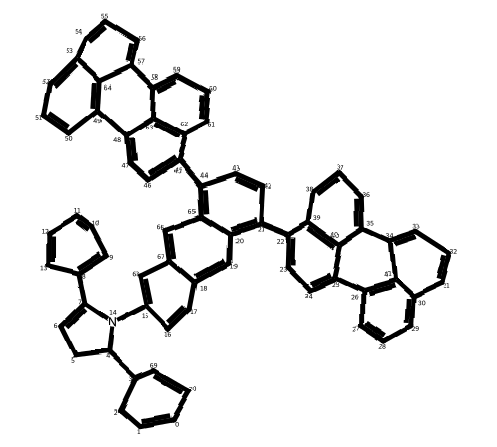 C1=CCC(C2CC=C(c3ccccc3)N2c2ccc3cc4c(-c5ccc6c7cccc8cccc(c9cccc5c96)c87)ccc(-c5ccc6c7cccc8cccc(c9cccc5c96)c87)c4cc3c2)C=C1